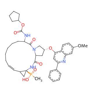 COc1ccc2c(O[C@@H]3CC4C(=O)N[C@]5(P(C)(=O)O)CC5/C=C\CCCCCC(NC(=O)OC5CCCC5)C(=O)N4C3)cc(-c3ccccc3)nc2c1